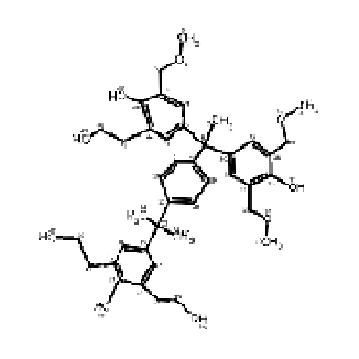 COCc1cc(C(C)(c2ccc(C(C)(C)c3cc(CCO)c(O)c(CCO)c3)cc2)c2cc(COC)c(O)c(COC)c2)cc(CCO)c1O